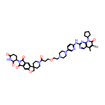 CC(=O)c1c(C)c2cnc(Nc3ccc(N4CCN(CCOCCC(=O)N5CCC6(CC5)COc5cc7c(cc56)C(=O)N(C5CCC(=O)NC5=O)C7=O)CC4)cn3)nc2n(C2CCCC2)c1=O